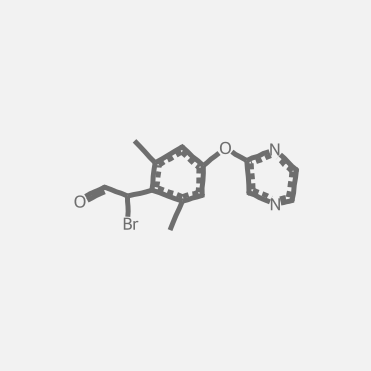 Cc1cc(Oc2cnccn2)cc(C)c1C(Br)C=O